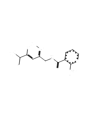 CCC(=CC(CNC(=O)c1cccnc1OC)=NO)C(C)[N+](=O)[O-]